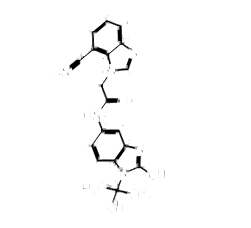 Cc1nc2cc(NC(=O)Cn3cnc4cccc(C#N)c43)ccc2n1C(C)(C)C